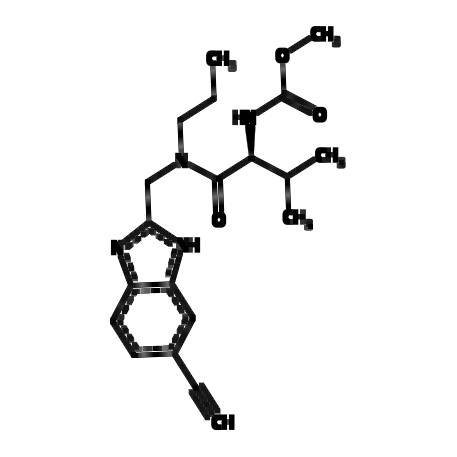 C#Cc1ccc2nc(CN(CCC)C(=O)[C@@H](NC(=O)OC)C(C)C)[nH]c2c1